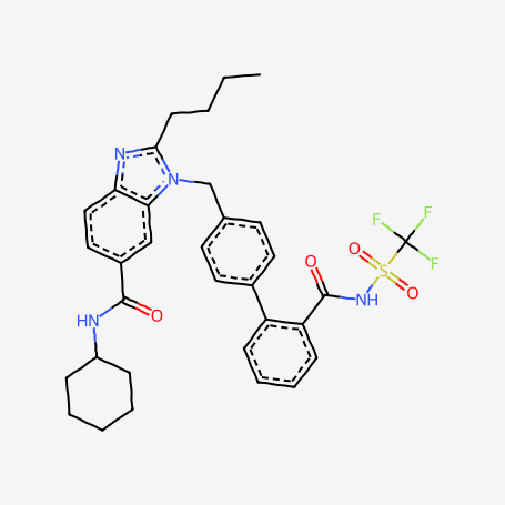 CCCCc1nc2ccc(C(=O)NC3CCCCC3)cc2n1Cc1ccc(-c2ccccc2C(=O)NS(=O)(=O)C(F)(F)F)cc1